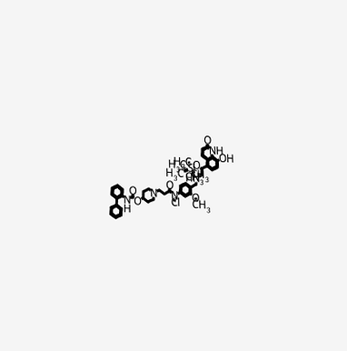 COc1cc(N(Cl)C(=O)CCN2CCC(OC(=O)Nc3ccccc3-c3ccccc3)CC2)ccc1CNCC(O[Si](C)(C)C(C)(C)C)c1ccc(O)c2[nH]c(=O)ccc12